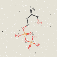 C=C(CO)CCOP(=O)(O)OP(=O)(O)O